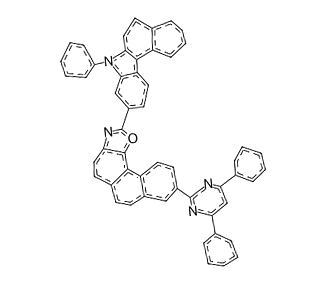 c1ccc(-c2cc(-c3ccccc3)nc(-c3ccc4c(ccc5ccc6nc(-c7ccc8c9c%10ccccc%10ccc9n(-c9ccccc9)c8c7)oc6c54)c3)n2)cc1